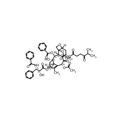 CC(=O)O[C@H]1C(=O)[C@]2(C)[C@@H](OC(=O)CCC(=O)C(C)C)C[C@H]3OC[C@@]3(OC(C)=O)[C@H]2[C@H](OC(=O)c2ccccc2)[C@]2(O)C[C@H](OC(=O)[C@H](O)[C@@H](NC(=O)c3ccccc3)c3ccccc3)C(C)=C1C2(C)C